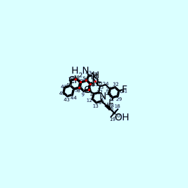 Cn1nc(N)c2c(Cl)ccc(-c3ccc(C#CC(C)(C)O)nc3C(Cc3cc(F)cc(F)c3)NC(=O)Cc3ccc4ccccc4c3)c21